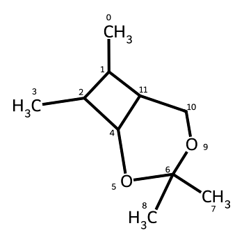 CC1C(C)C2OC(C)(C)OCC12